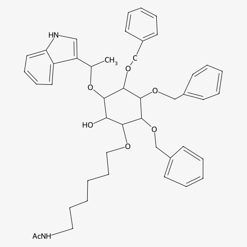 CC(=O)NCCCCCCOC1C(O)C(OC(C)c2c[nH]c3ccccc23)C(OCc2ccccc2)C(OCc2ccccc2)C1OCc1ccccc1